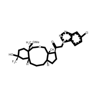 COC[C@]12CC[C@](O)(C(F)(F)F)C[C@H]1CCC[C@@H]1CC[C@H](C(=O)Cn3nnc4cc(Cl)ccc43)[C@@]1(C)CC[C@H]2C